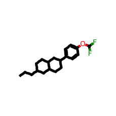 CCCC1CCC2CC(c3ccc(OC(F)F)cc3)CCC2C1